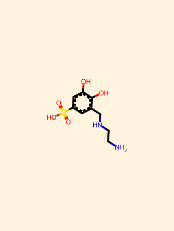 NCCNCc1cc(S(=O)(=O)O)cc(O)c1O